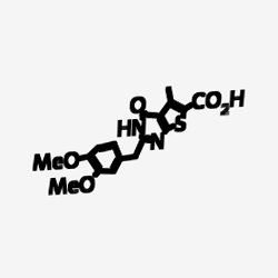 COc1ccc(Cc2nc3sc(C(=O)O)c(C)c3c(=O)[nH]2)cc1OC